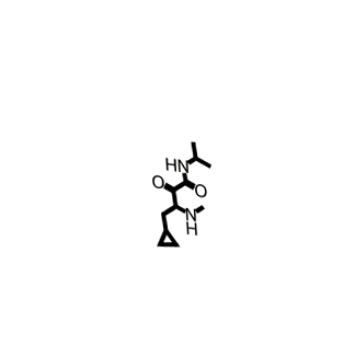 CNC(CC1CC1)C(=O)C(=O)NC(C)C